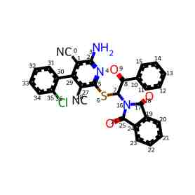 N#Cc1c(N)nc(SC(C(=O)c2ccccc2)N2C(=O)c3ccccc3C2=O)c(C#N)c1-c1ccccc1Cl